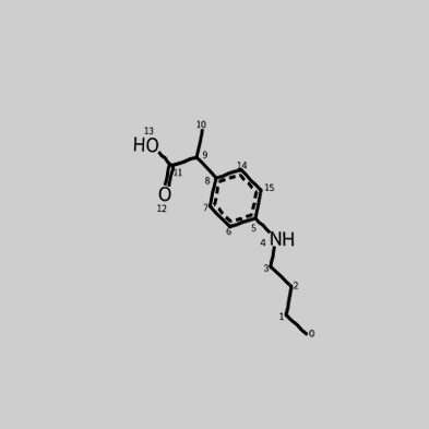 CCCCNc1ccc(C(C)C(=O)O)cc1